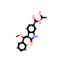 COC(=C1C(=O)Nc2cc(C(=O)OC(C)=O)ccc21)c1ccccc1